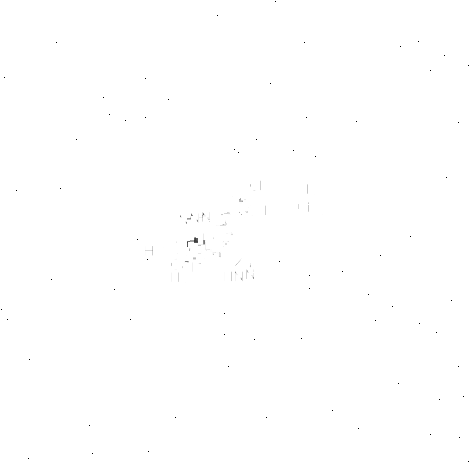 CC(C)CCCC(C)[C@H]1CC[C@H]2[C@H](CN=[N+]=[N-])[C@@H]([C@@]3(C)Cc4cn[nH]c4C[C@@H]3CO[Si](C)(C)C(C)(C)C)CC[C@]12C